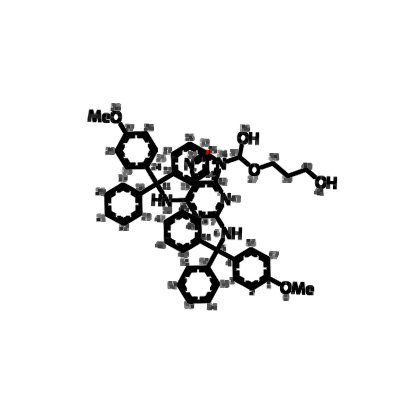 COc1ccc(C(Nc2nc(NC(c3ccccc3)(c3ccccc3)c3ccc(OC)cc3)c3ncn(C(O)OCCCO)c3n2)(c2ccccc2)c2ccccc2)cc1